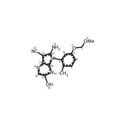 COCOc1ccc(C)c(-n2c(N)c(C#N)c3ncc(O)nc32)c1